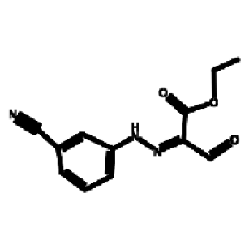 CCOC(=O)C(C=O)=NNc1cccc(C#N)c1